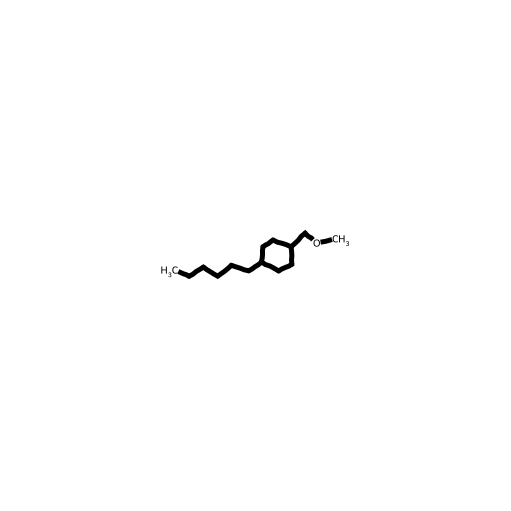 CCCCCCC1CCC(COC)CC1